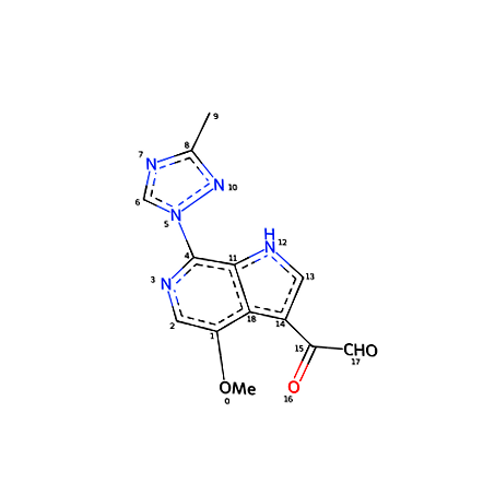 COc1cnc(-n2cnc(C)n2)c2[nH]cc(C(=O)C=O)c12